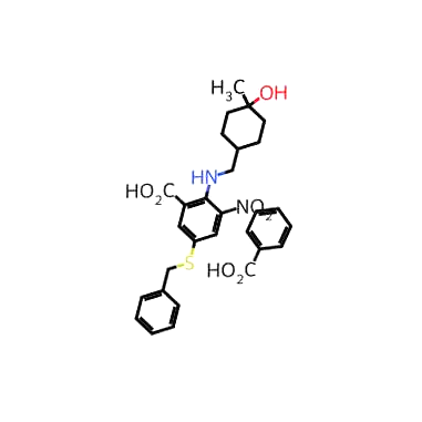 CC1(O)CCC(CNc2c(C(=O)O)cc(SCc3ccccc3)cc2[N+](=O)[O-])CC1.O=C(O)c1ccccc1